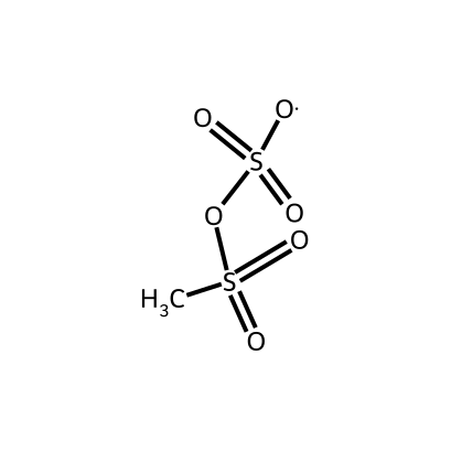 CS(=O)(=O)OS([O])(=O)=O